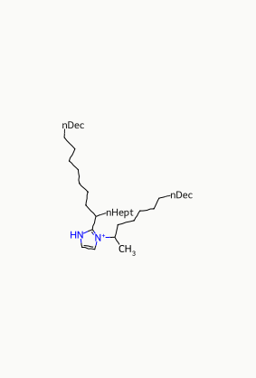 CCCCCCCCCCCCCCCCCC(CCCCCCC)c1[nH]cc[n+]1C(C)CCCCCCCCCCCCCCC